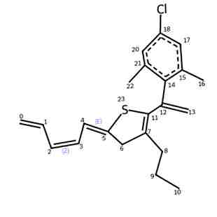 C=C/C=C\C=C1/CC(CCC)=C(C(=C)c2c(C)cc(Cl)cc2C)S1